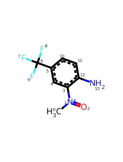 C[N+](=O)c1cc(C(F)(F)F)ccc1N